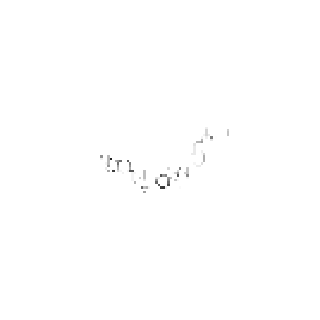 CC(C)(C)OC(=O)N1CCC[C@H](CNS(=O)(=O)c2ccc([C@@H]3C[C@H]3C(=O)Nc3ccc4cnccc4c3)cc2)C1